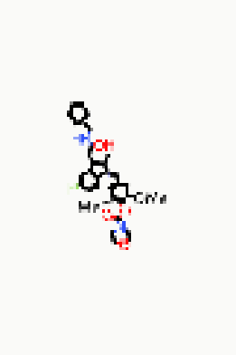 COc1cc(/C=C2/C(C)=C(CC(O)NCc3ccccc3)c3cc(F)ccc32)cc(OC)c1OC(=O)N1CCOCC1